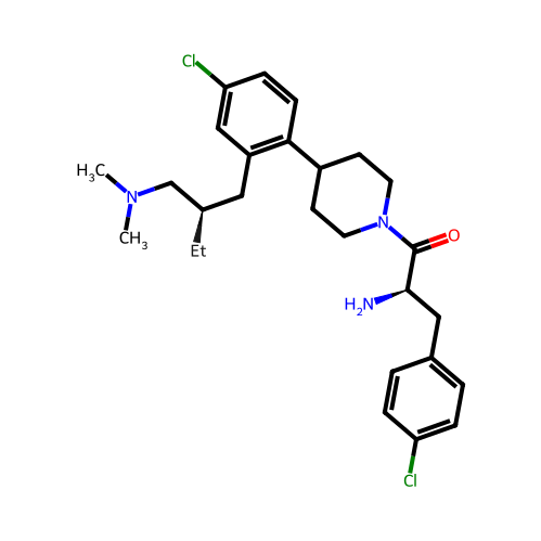 CC[C@H](Cc1cc(Cl)ccc1C1CCN(C(=O)[C@H](N)Cc2ccc(Cl)cc2)CC1)CN(C)C